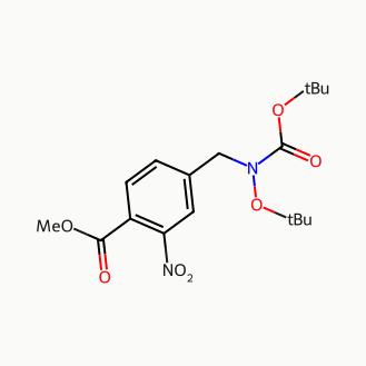 COC(=O)c1ccc(CN(OC(C)(C)C)C(=O)OC(C)(C)C)cc1[N+](=O)[O-]